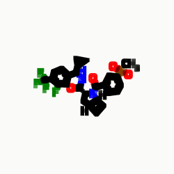 CS(=O)(=O)c1cccc(C(=O)N2[C@@H](C(=O)N[C@@H](c3ccc(C(F)(F)F)c(F)c3)C3CC3)C[C@H]3C=C[C@H]32)c1